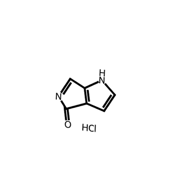 Cl.O=C1N=Cc2[nH]ccc21